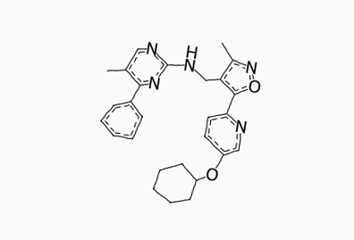 Cc1cnc(NCc2c(C)noc2-c2ccc(OC3CCCCC3)cn2)nc1-c1ccccc1